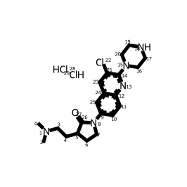 CN(C)CCC1CCN(c2ccc3nc(N4CCNCC4)c(Cl)cc3c2)C1=O.Cl.Cl